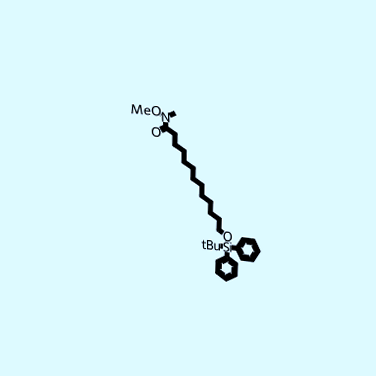 CON(C)C(=O)CCCCCCCCCCCCO[Si](c1ccccc1)(c1ccccc1)C(C)(C)C